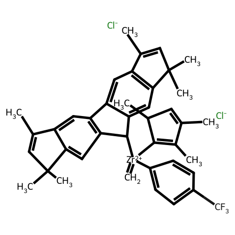 [CH2]=[Zr+2]([C]1=C(C)C(C)=CC1C)([c]1ccc(C(F)(F)F)cc1)[CH]1c2cc3c(cc2-c2cc4c(cc21)C(C)(C)C=C4C)C(C)=CC3(C)C.[Cl-].[Cl-]